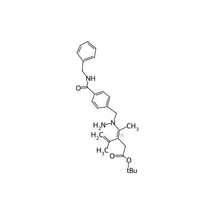 C=C(C)/C(CC(=O)OC(C)(C)C)=C(/C)N(N)Cc1ccc(C(=O)NCc2ccccc2)cc1